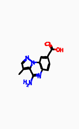 Cc1cnn2c1c(N)nc1ccc(C(=O)O)cc12